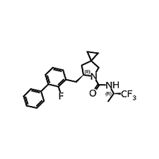 C[C@@H](NC(=O)N1CC2(CC2)C[C@@H]1Cc1cccc(-c2ccccc2)c1F)C(F)(F)F